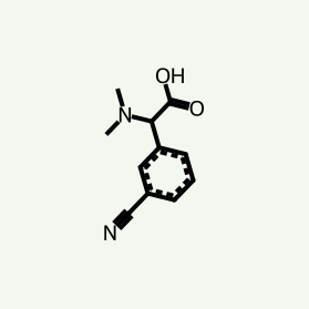 CN(C)C(C(=O)O)c1cccc(C#N)c1